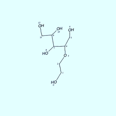 OCCOC(CO)C(O)C(O)CO